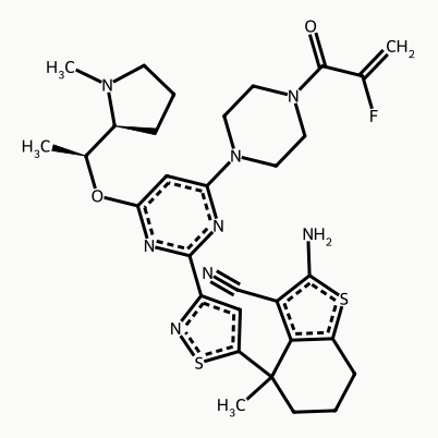 C=C(F)C(=O)N1CCN(c2cc(O[C@@H](C)[C@@H]3CCCN3C)nc(-c3cc(C4(C)CCCc5sc(N)c(C#N)c54)sn3)n2)CC1